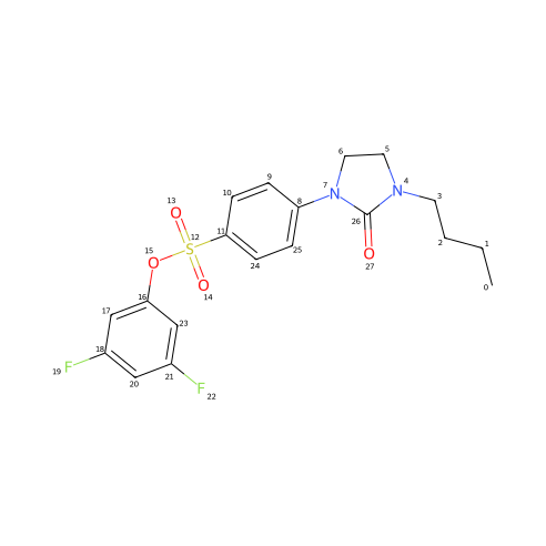 CCCCN1CCN(c2ccc(S(=O)(=O)Oc3cc(F)cc(F)c3)cc2)C1=O